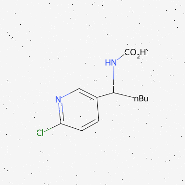 CCCCC(NC(=O)O)c1ccc(Cl)nc1